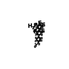 CCCc1ccc(-c2cc(F)c(-c3cc(F)c(F)c(P)c3)c(F)c2)cc1